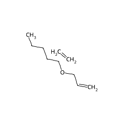 C=C.C=CCOCCCCC